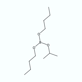 CCCCOB(OCCCC)OC(C)C